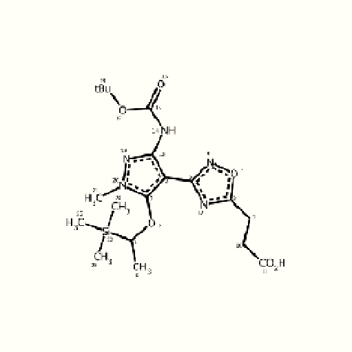 CC(Oc1c(-c2noc(CCC(=O)O)n2)c(NC(=O)OC(C)(C)C)nn1C)[Si](C)(C)C